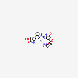 COc1cc(C(=O)N2C[C@H]3CC[C@@H]2[C@@H]3N)cc2nc(-c3cc4cccc(-c5ccc6c(c5)C(C)(O)C(=O)N6)c4n3CC3CC3)n(C)c12